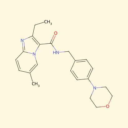 CCc1nc2ccc(C)cn2c1C(=O)NCc1ccc(N2CCOCC2)cc1